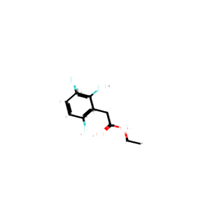 CCOC(=O)Cc1c(F)ccc(F)c1F